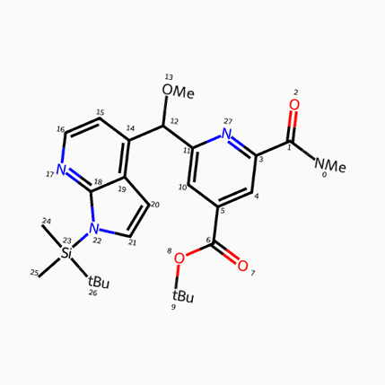 CNC(=O)c1cc(C(=O)OC(C)(C)C)cc(C(OC)c2ccnc3c2ccn3[Si](C)(C)C(C)(C)C)n1